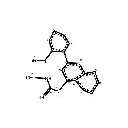 CC(C)Cc1ccccc1-c1cc(NC(=N)NC=O)c2ccccc2n1